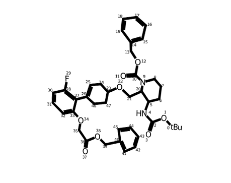 CC(C)(C)OC(=O)NC1CCCN(C(=O)OCc2ccccc2)C1COC1CC=C(c2c(F)cccc2OCC(=O)OCc2ccccc2)CC1